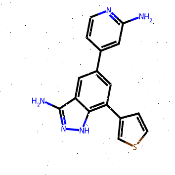 Nc1cc(-c2cc(-c3ccsc3)c3[nH]nc(N)c3c2)ccn1